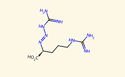 N=C(N)NCCC[C@H](N=NNC(=N)N)C(=O)O